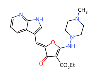 CCOC(=O)C1=C(NN2CCN(C)CC2)OC(=Cc2c[nH]c3ncccc23)C1=O